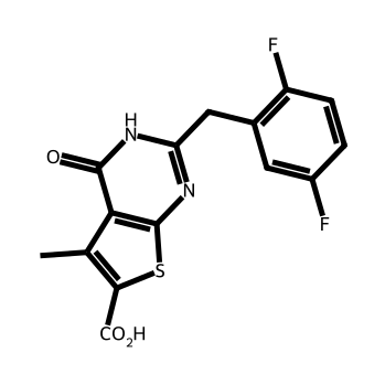 Cc1c(C(=O)O)sc2nc(Cc3cc(F)ccc3F)[nH]c(=O)c12